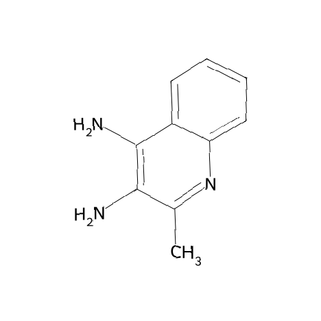 Cc1nc2ccccc2c(N)c1N